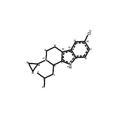 CC(C)CC1c2[nH]c3ccc(Cl)cc3c2CCN1C1CC1